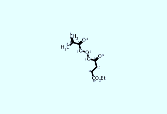 C=C(C)C(=O)OOOC(=O)CCC(=O)OCC